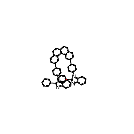 c1ccc(-c2nc3ccccc3n2-c2ccc(-c3ccc4ccc5ccc6ccc(-c7ccc(-n8c(-c9ccccc9)nc9ccccc98)cc7)cc6c5c4c3)cc2)cc1